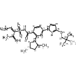 CN/C=C(\C(C)=N)S(=O)(=O)NC(=O)c1ccc(-n2ccc(OCC(C)(C)C(F)(F)F)n2)nc1N1C[C@@H](C)CC1C